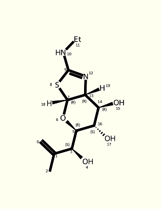 C=C(C)[C@H](O)[C@H]1O[C@@H]2SC(NCC)=N[C@@H]2[C@@H](O)[C@@H]1O